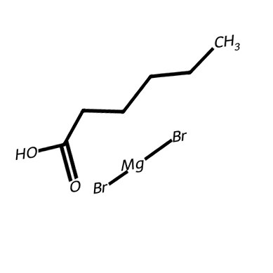 CCCCCC(=O)O.[Br][Mg][Br]